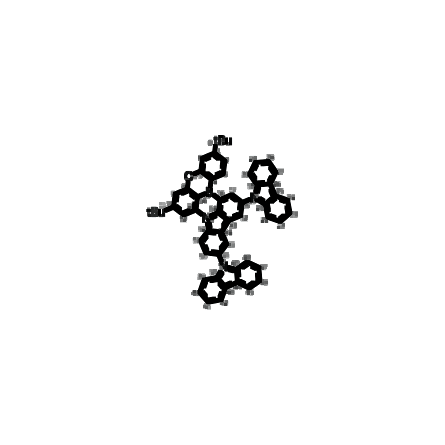 CC(C)(C)c1ccc2c(c1)Oc1cc(C(C)(C)C)cc3c1B2c1cc(-n2c4ccccc4c4ccccc42)cc2c4cc(-n5c6ccccc6c6ccccc65)ccc4n-3c12